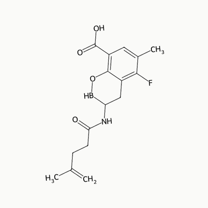 C=C(C)CCC(=O)NC1BOc2c(C(=O)O)cc(C)c(F)c2C1